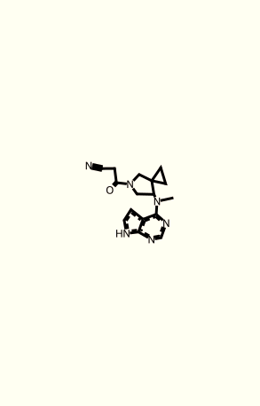 CN(c1ncnc2[nH]ccc12)C1CN(C(=O)CC#N)CC12CC2